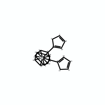 C1=CCC([C]23[CH]4[CH]5[CH]6[C]2(C2=CC=CC2)[Zr]54632789[CH]3[CH]2[CH]7[CH]8[CH]39)=C1